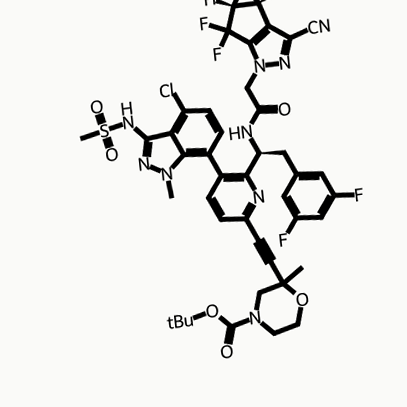 Cn1nc(NS(C)(=O)=O)c2c(Cl)ccc(-c3ccc(C#CC4(C)CN(C(=O)OC(C)(C)C)CCO4)nc3[C@H](Cc3cc(F)cc(F)c3)NC(=O)Cn3nc(C#N)c4c3C(F)(F)[C@@H]3C[C@H]43)c21